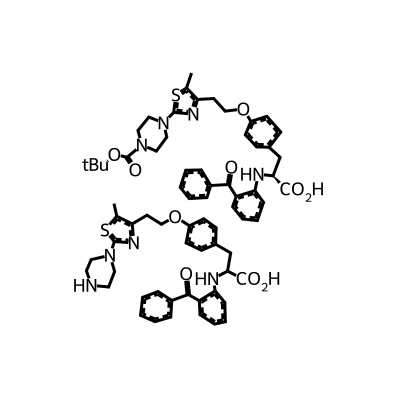 Cc1sc(N2CCN(C(=O)OC(C)(C)C)CC2)nc1CCOc1ccc(C[C@H](Nc2ccccc2C(=O)c2ccccc2)C(=O)O)cc1.Cc1sc(N2CCNCC2)nc1CCOc1ccc(CC(Nc2ccccc2C(=O)c2ccccc2)C(=O)O)cc1